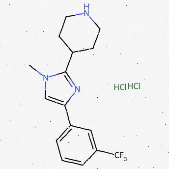 Cl.Cl.Cn1cc(-c2cccc(C(F)(F)F)c2)nc1C1CCNCC1